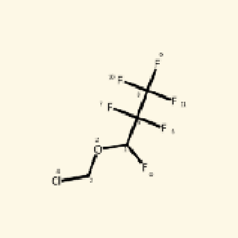 FC(OCCl)C(F)(F)C(F)(F)F